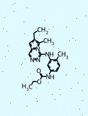 [CH2]Cc1cc2cnnc(Nc3cc(NC(=O)OCC)ccc3C)n2c1C